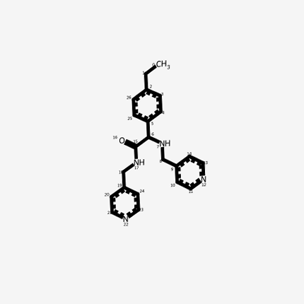 CCc1ccc(C(NCc2ccncc2)C(=O)NCc2ccncc2)cc1